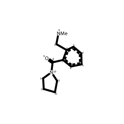 CNCc1ccccc1C(=O)N1CCCC1